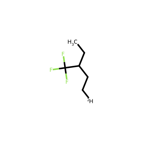 [2H]CCC(CC)C(F)(F)F